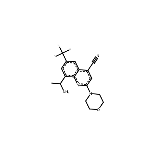 CC(N)c1cc(C(F)(F)F)cc2c(C#N)cc(N3CCOCC3)nc12